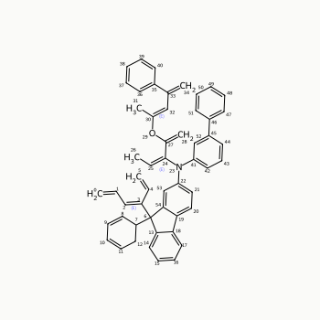 C=C/C=C(\C=C)C1(C2C=CC=CC2)c2ccccc2-c2ccc(N(/C(=C/C)C(=C)O/C(C)=C/C(=C)c3ccccc3)c3cccc(-c4ccccc4)c3)cc21